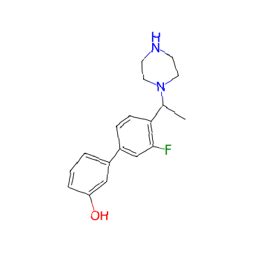 CC(c1ccc(-c2cccc(O)c2)cc1F)N1CCNCC1